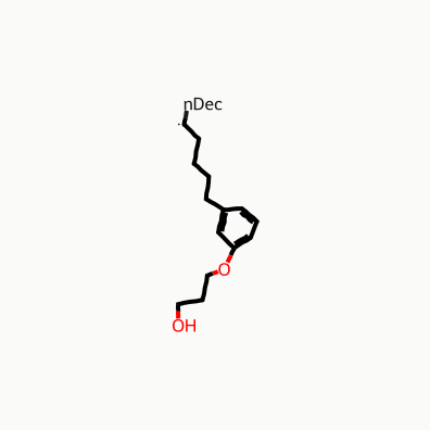 CCCCCCCCCC[CH]CCCCc1cccc(OCCCO)c1